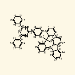 CC(C)(c1ccccc1-c1ccc(-c2nc(-c3ccccc3)nc(-c3ccccc3)n2)cc1)c1ccccc1-n1c2ccccc2c2ccccc21